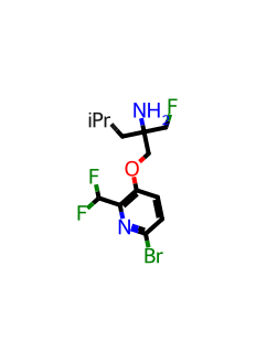 CC(C)CC(N)(CF)COc1ccc(Br)nc1C(F)F